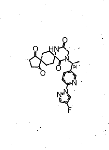 C[C@@H](c1ccc(-n2cc(F)cn2)nc1)N1CC(=O)NC2(CCC3(CC2)C(=O)CCC3=O)C1=O